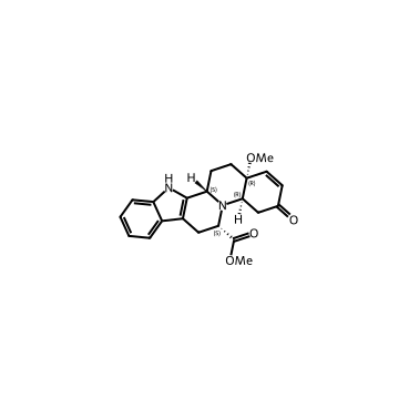 COC(=O)[C@@H]1Cc2c([nH]c3ccccc23)[C@@H]2CC[C@@]3(OC)C=CC(=O)C[C@H]3N12